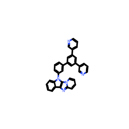 c1cncc(-c2cc(-c3cccnc3)cc(-c3cccc(-n4c5ccccc5c5nc6ccccn6c54)c3)c2)c1